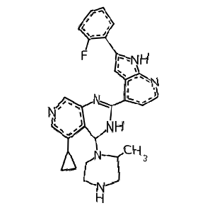 CC1CNCCN1C1NC(c2ccnc3[nH]c(-c4ccccc4F)cc23)=Nc2cncc(C3CC3)c21